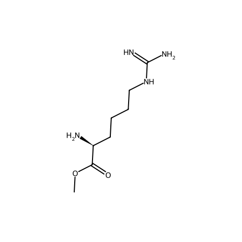 COC(=O)[C@@H](N)CCCCNC(=N)N